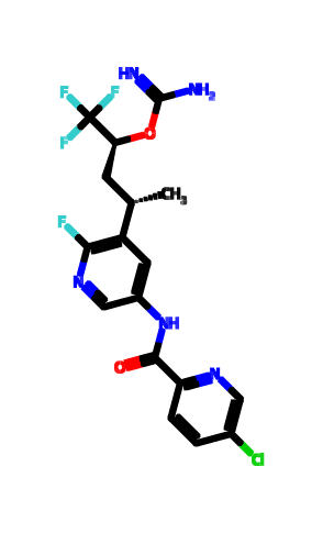 C[C@@H](C[C@H](OC(=N)N)C(F)(F)F)c1cc(NC(=O)c2ccc(Cl)cn2)cnc1F